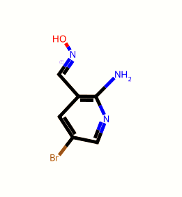 Nc1ncc(Br)cc1/C=N/O